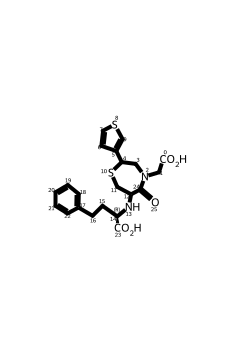 O=C(O)CN1CC(c2ccsc2)SCC(N[C@H](CCc2ccccc2)C(=O)O)C1=O